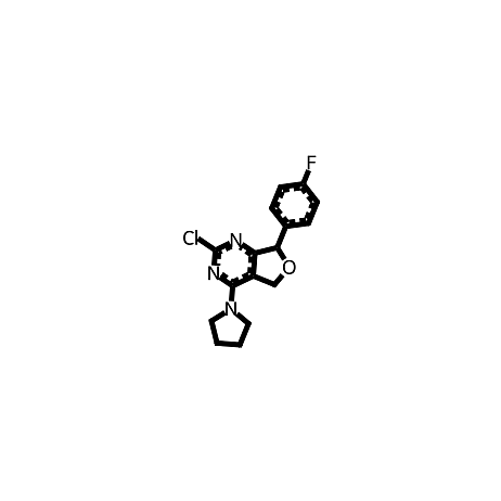 Fc1ccc(C2OCc3c2nc(Cl)nc3N2CCCC2)cc1